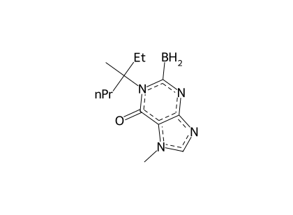 Bc1nc2ncn(C)c2c(=O)n1C(C)(CC)CCC